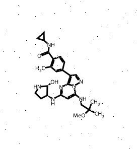 COC(C)(C)CNc1cc(N[C@H]2CCN[C@H]2O)nc2c(-c3ccc(C(=O)NC4CC4)c(C)c3)cnn12